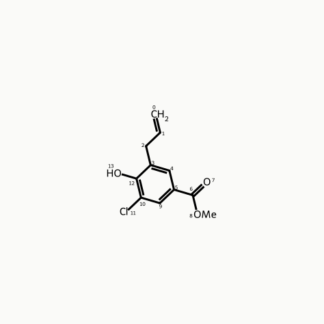 C=CCc1cc(C(=O)OC)cc(Cl)c1O